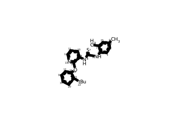 Cc1ccc(NC(=S)Nc2cccnc2Oc2ccccc2C(C)(C)C)c(C)c1